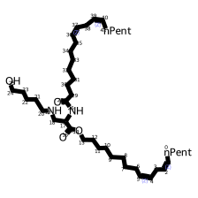 CCCCC/C=C\C/C=C\CCCCCCCCOC(=O)C(CNCCCCCO)NC(=O)CCCCCCC/C=C\C/C=C\CCCCC